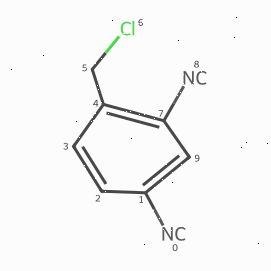 [C-]#[N+]c1ccc(CCl)c([N+]#[C-])c1